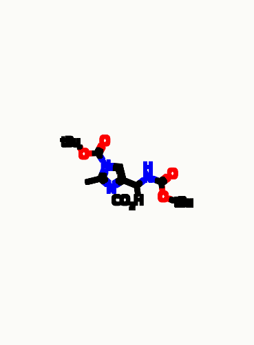 Cc1nc(C(NC(=O)OC(C)(C)C)C(=O)O)cn1C(=O)OC(C)(C)C